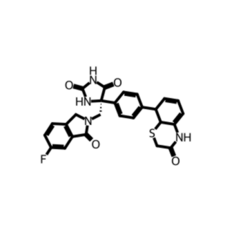 O=C1CSC2C(=CC=CC2c2ccc([C@@]3(CN4Cc5ccc(F)cc5C4=O)NC(=O)NC3=O)cc2)N1